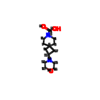 O=C(O)N1CCC2(CC1)CC(N1CCOCC1)C2